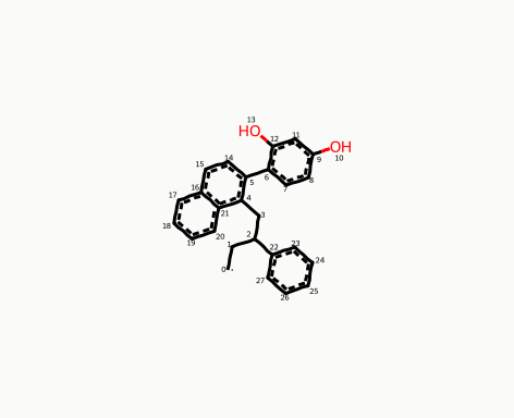 [CH2]CC(Cc1c(-c2ccc(O)cc2O)ccc2ccccc12)c1ccccc1